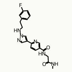 CNC(=O)CNC(=O)c1ccc(-c2cnn(NCCc3cccc(F)c3)c2)nc1